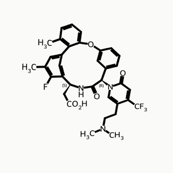 Cc1cc2cc(c1F)[C@H](CC(=O)O)NC(=O)[C@H](n1cc(CCN(C)C)c(C(F)(F)F)cc1=O)c1cccc(c1)Oc1cccc(C)c1-2